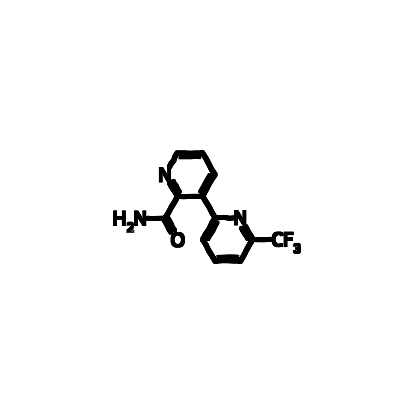 NC(=O)c1ncccc1-c1cccc(C(F)(F)F)n1